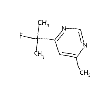 Cc1cc(C(C)(C)F)ncn1